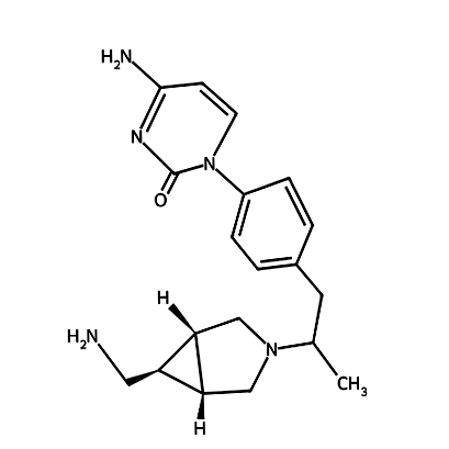 CC(Cc1ccc(-n2ccc(N)nc2=O)cc1)N1C[C@@H]2[C@@H](CN)[C@@H]2C1